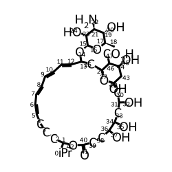 CC(C)C1CCC\C=C/C=C/C=C/C=C/C(O[C@@H]2O[C@H](C)[C@@H](O)[C@H](N)[C@@H]2O)CC2OC(O)(CC(O)CC(O)C(O)CCC(=O)O1)CC(O)C2C(=O)O